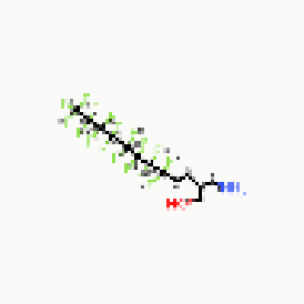 NCC(CO)CCC(F)(F)C(F)(F)C(F)(F)C(F)(F)C(F)(F)C(F)(F)C(F)(F)C(F)(F)F